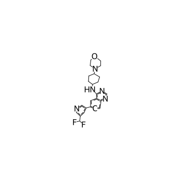 FC(F)c1cncc(-c2ccc3ncnc(NC4CCC(N5CCOCC5)CC4)c3c2)c1